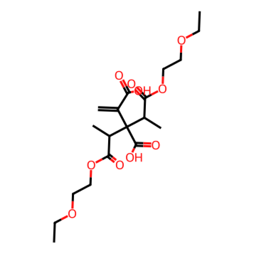 C=C(C(=O)O)C(C(=O)O)(C(C)C(=O)OCCOCC)C(C)C(=O)OCCOCC